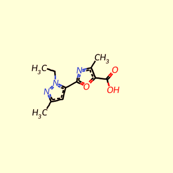 CCn1nc(C)cc1-c1nc(C)c(C(=O)O)o1